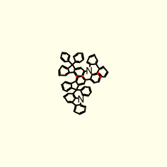 c1ccc(-c2ccccc2N(c2ccc3c(c2)C(c2ccccc2)(c2ccccc2)c2ccccc2-3)c2ccccc2-c2ccc3c(c2)C2(c4ccccc4-3)c3ccccc3-n3c4ccccc4c4cccc2c43)cc1